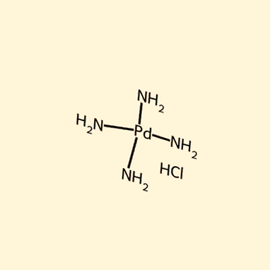 Cl.[NH2][Pd]([NH2])([NH2])[NH2]